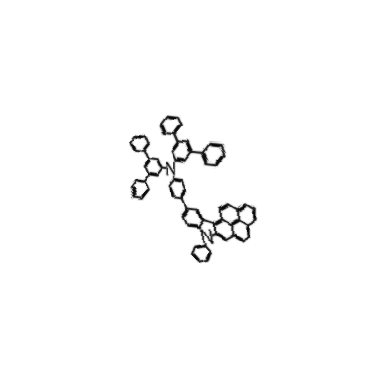 c1ccc(-c2cc(-c3ccccc3)cc(N(c3ccc(-c4ccc5c(c4)c4c6ccc7cccc8ccc(cc4n5-c4ccccc4)c6c87)cc3)c3cc(-c4ccccc4)cc(-c4ccccc4)c3)c2)cc1